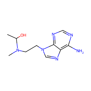 CC(O)N(C)CCn1cnc2c(N)ncnc21